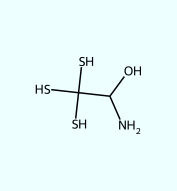 NC(O)C(S)(S)S